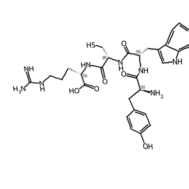 N=C(N)NCCC[C@H](NC(=O)[C@H](CS)NC(=O)[C@H](Cc1c[nH]c2ccccc12)NC(=O)[C@@H](N)Cc1ccc(O)cc1)C(=O)O